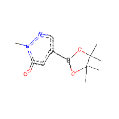 Cn1ncc(B2OC(C)(C)C(C)(C)O2)cc1=O